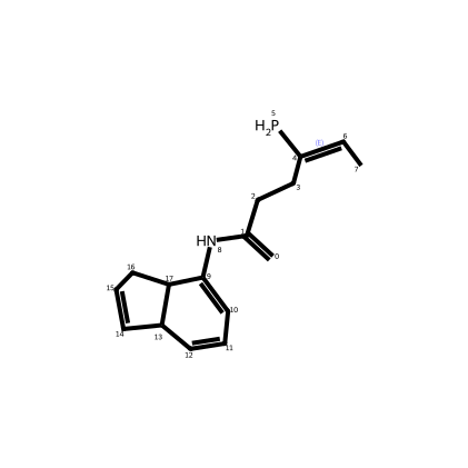 C=C(CC/C(P)=C\C)NC1=CC=CC2C=CCC12